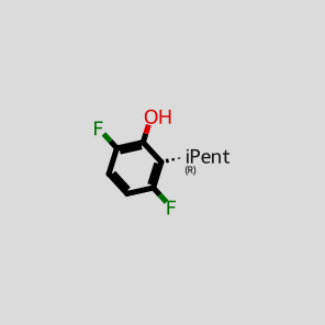 CCC[C@@H](C)c1c(F)ccc(F)c1O